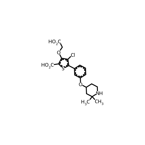 CC1(C)CC(Oc2cccc(-c3sc(C(=O)O)c(OCC(=O)O)c3Cl)c2)CCN1